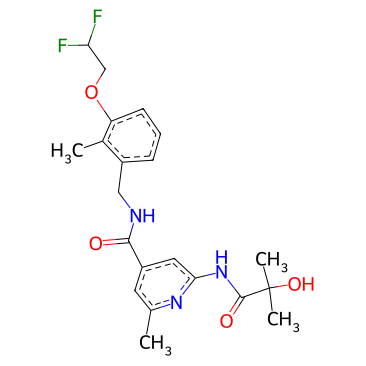 Cc1cc(C(=O)NCc2cccc(OCC(F)F)c2C)cc(NC(=O)C(C)(C)O)n1